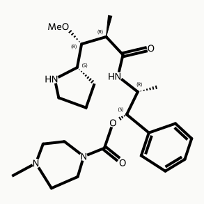 CO[C@@H]([C@@H]1CCCN1)[C@@H](C)C(=O)N[C@H](C)[C@@H](OC(=O)N1CCN(C)CC1)c1ccccc1